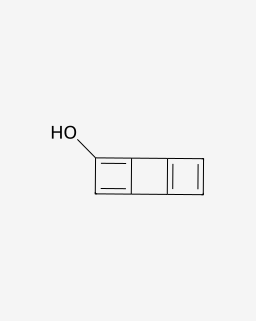 Oc1cc2c3ccc3c12